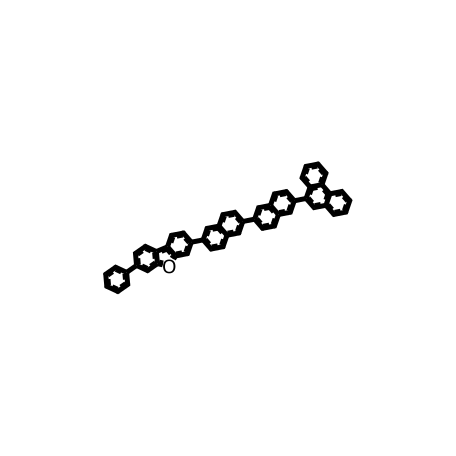 c1ccc(-c2ccc3c(c2)oc2cc(-c4ccc5cc(-c6ccc7cc(-c8cc9ccccc9c9ccccc89)ccc7c6)ccc5c4)ccc23)cc1